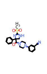 CS(=O)(=O)C1=NC(C(=O)N2CCN(c3cccc(C#N)c3)CC2)(c2ccccc2)CN1